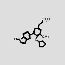 CCOC(=O)CCc1cc(OC)c(OC2CCCC2)c(-c2ccc3c(ccn3CC)c2)c1